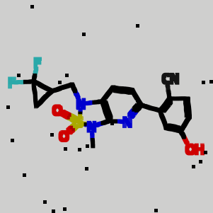 CN1c2nc(-c3cc(O)ccc3C#N)ccc2N(CC2CC2(F)F)S1(=O)=O